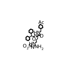 CC(=O)c1ccc(CNC(=O)[C@@H](CCCN/C(N)=N\[N+](=O)[O-])NC(=O)C(c2ccccc2)c2ccccc2)cc1